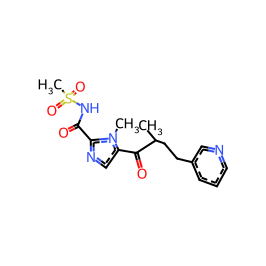 CC(CCc1cccnc1)C(=O)c1cnc(C(=O)NS(C)(=O)=O)n1C